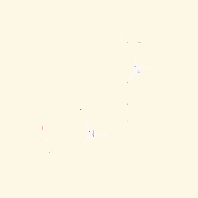 CC(=O)CN1C(C)(C)CC(N2CCC2=O)CC1(C)C